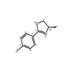 C[C@@H]1COC(c2ccc(F)cc2)=N1